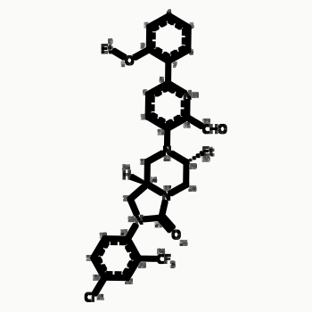 CCOc1ccccc1-c1ccc(N2C[C@H]3CN(c4ccc(Cl)cc4C(F)(F)F)C(=O)N3C[C@H]2CC)c(C=O)n1